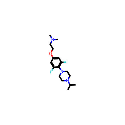 CC(C)N1CCN(c2c(F)cc(OCCN(C)C)cc2F)CC1